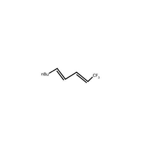 CCCCC=CC=CC(F)(F)F